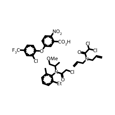 C=CCN(CC=C)C(=O)C(Cl)Cl.CCc1cccc(C)c1N(C(=O)CCl)C(C)COC.O=C(O)c1cc(Oc2ccc(C(F)(F)F)cc2Cl)ccc1[N+](=O)[O-]